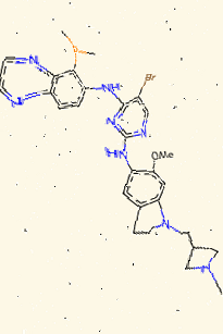 COc1cc2c(cc1Nc1ncc(Br)c(Nc3ccc4nccnc4c3P(C)C)n1)CCN2CC1CN(C)C1